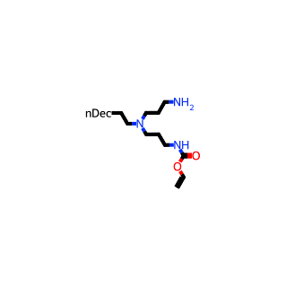 C=COC(=O)NCCCN(CCCN)CCCCCCCCCCCC